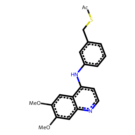 COc1cc2nccc(Nc3cccc(CSC(C)=O)c3)c2cc1OC